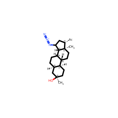 CC(=O)[C@H]1CC(N=[N+]=[N-])[C@H]2[C@@H]3CC[C@@H]4C[C@](C)(O)CC[C@@H]4[C@H]3CC[C@]12C